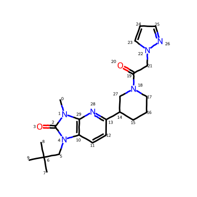 Cn1c(=O)n(CC(C)(C)C)c2ccc(C3CCCN(C(=O)Cn4cccn4)C3)nc21